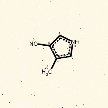 Cc1c[nH]cc1C#N